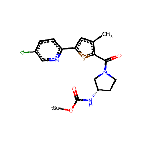 Cc1cc(-c2ccc(Cl)cn2)sc1C(=O)N1CC[C@H](NC(=O)OC(C)(C)C)C1